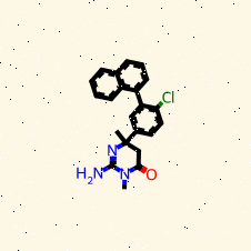 CN1C(=O)CC(C)(c2ccc(Cl)c(-c3cccc4ccccc34)c2)N=C1N